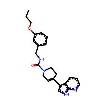 CCCOc1cccc(CNC(=O)N2CC=C(c3c[nH]c4ncccc34)CC2)c1